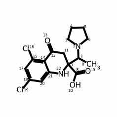 CC(N1CCCC1)C1(C(=O)O)CC(=O)c2c(Cl)cc(Cl)cc2N1